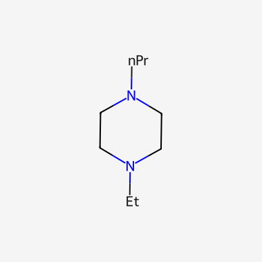 CCCN1CCN(CC)CC1